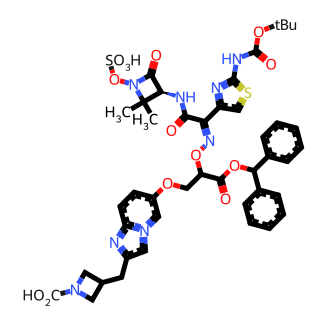 CC(C)(C)OC(=O)Nc1nc(/C(=N/OC(COc2ccc3nc(CC4CN(C(=O)O)C4)cn3c2)C(=O)OC(c2ccccc2)c2ccccc2)C(=O)N[C@@H]2C(=O)N(OS(=O)(=O)O)C2(C)C)cs1